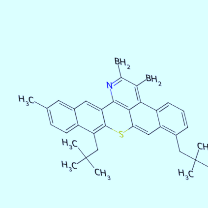 Bc1nc2c3c(cc4c(CC(C)(C)C)cccc4c3c1B)Sc1c-2cc2cc(C)ccc2c1CC(C)(C)C